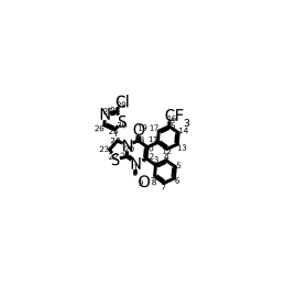 C[n+]1c(-c2ccccc2[O-])c(-c2cccc(C(F)(F)F)c2)c(=O)n2c1SC[C@@H]2c1cnc(Cl)s1